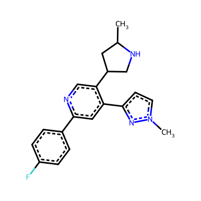 CC1CC(c2cnc(-c3ccc(F)cc3)cc2-c2ccn(C)n2)CN1